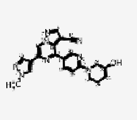 Cn1cc(-c2cn3ncc(C#N)c3c(-c3ccc(N4CCCC(O)C4)nc3)n2)cn1